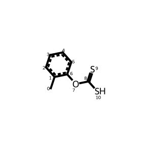 Cc1ccccc1OC(=S)S